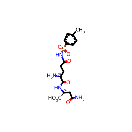 Cc1ccc(S(=O)(=O)NC(=O)CC[C@H](N)C(=O)N[C@@H](CC(N)=O)C(=O)O)cc1